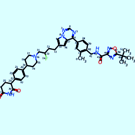 Cc1cc(-c2ncnn3cc(CCC(F)CN4CCC(c5ccc(C6CCC(=O)NC6=O)cc5)CC4)cc23)ccc1CNC(=O)c1noc(C(C)(C)C)n1